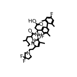 CCC(C)CC(C(=O)NC(CC(=O)O)c1cc(-c2c(C)cc(F)cc2C)cc(C)c1F)n1nc(CCN2CCC(F)(F)C2)cc(C)c1=O